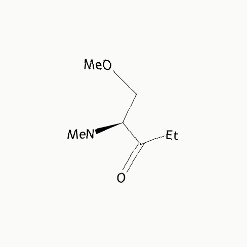 CCC(=O)[C@H](COC)NC